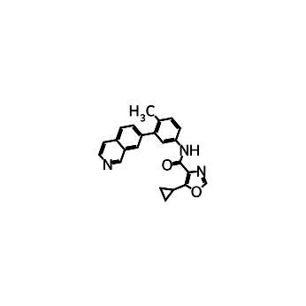 Cc1ccc(NC(=O)c2ncoc2C2CC2)cc1-c1ccc2ccncc2c1